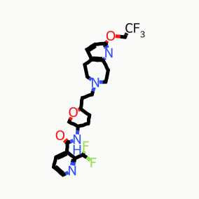 O=C(NC1CCC(CCN2CCc3ccc(OCC(F)(F)F)nc3CC2)OC1)c1cccnc1C(F)F